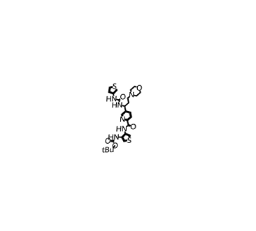 CC(C)(C)OC(=O)Nc1cscc1NC(=O)c1ccc(C(CCN2CCOCC2)NC(=O)Nc2ccsc2)cn1